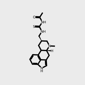 CC(=O)NC(=S)NC[C@@H]1CC2c3cccc4[nH]cc(c34)C[C@H]2N(C)C1